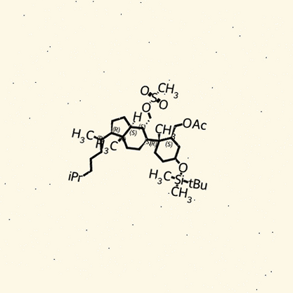 CC(=O)OC[C@H]1CC(O[Si](C)(C)C(C)(C)C)CC[C@]1(C)[C@H]1CC[C@]2(C)[C@@H]([C@H](C)CCCC(C)C)CC[C@H]2[C@@H]1COS(C)(=O)=O